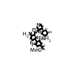 COC(C)(C)c1cc(F)c(-c2nc(C(=O)Nc3cnccc3[C@@H]3C[C@H](C)C[C@H](N)C3)c(N)cc2F)c(F)c1